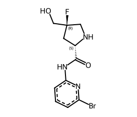 O=C(Nc1cccc(Br)n1)[C@@H]1C[C@](F)(CO)CN1